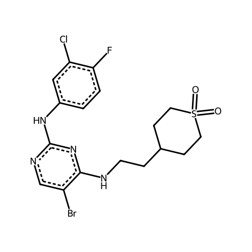 O=S1(=O)CCC(CCNc2nc(Nc3ccc(F)c(Cl)c3)ncc2Br)CC1